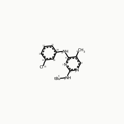 Cc1cnc(NC(C)(C)C)nc1Nc1cccc(Cl)c1